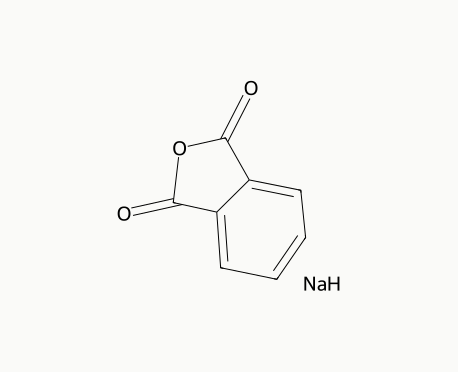 O=C1OC(=O)c2ccccc21.[NaH]